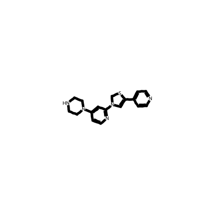 C1=C(c2ccncc2)SCN1c1cc(N2CCNCC2)ccn1